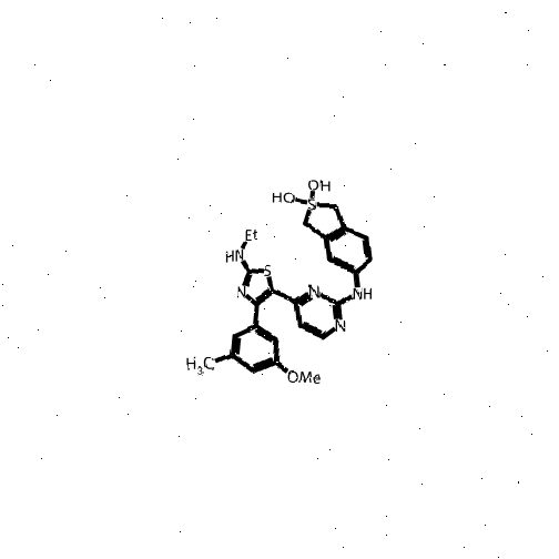 CCNc1nc(-c2cc(C)cc(OC)c2)c(-c2ccnc(Nc3ccc4c(c3)CS(O)(O)C4)n2)s1